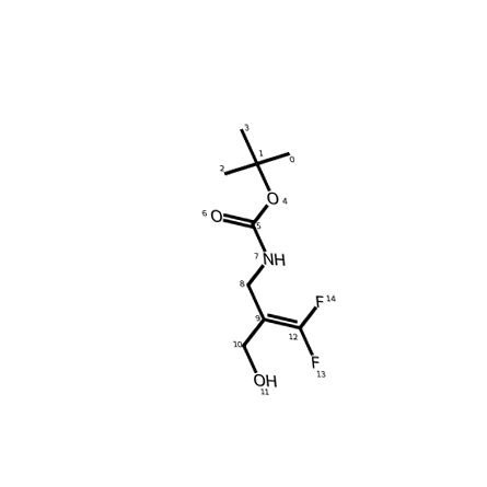 CC(C)(C)OC(=O)NCC(CO)=C(F)F